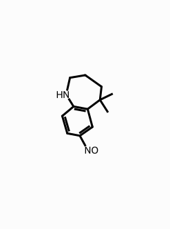 CC1(C)CCCNc2ccc(N=O)cc21